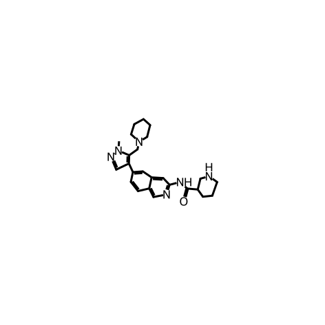 Cn1ncc(-c2ccc3cnc(NC(=O)C4CCCNC4)cc3c2)c1CN1CCCCC1